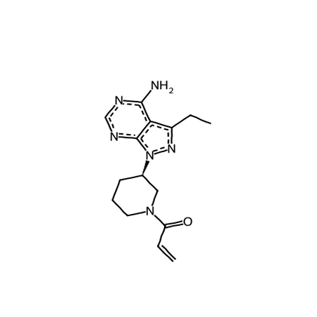 C=CC(=O)N1CCC[C@@H](n2nc(CC)c3c(N)ncnc32)C1